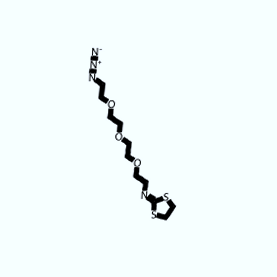 [N-]=[N+]=NCCOCCOCCOCCN=C1SCCS1